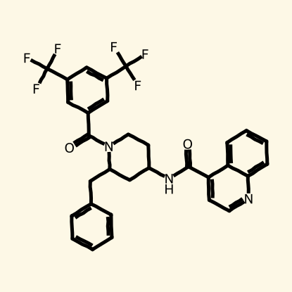 O=C(NC1CCN(C(=O)c2cc(C(F)(F)F)cc(C(F)(F)F)c2)C(Cc2ccccc2)C1)c1ccnc2ccccc12